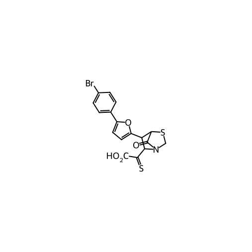 O=C(O)C(=S)C1C(c2ccc(-c3ccc(Br)cc3)o2)C2SCN1C2=O